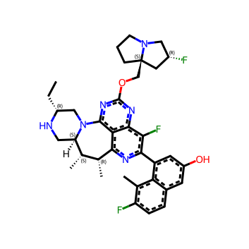 CC[C@@H]1CN2c3nc(OC[C@@]45CCCN4C[C@H](F)C5)nc4c(F)c(-c5cc(O)cc6ccc(F)c(C)c56)nc(c34)[C@H](C)[C@H](C)[C@H]2CN1